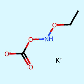 CCONOC(=O)[O-].[K+]